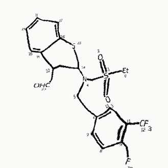 CCS(=O)(=O)N(Cc1ccc(F)c(C(F)(F)F)c1)C1Sc2ccccc2C1C=O